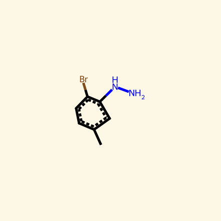 Cc1ccc(Br)c(NN)c1